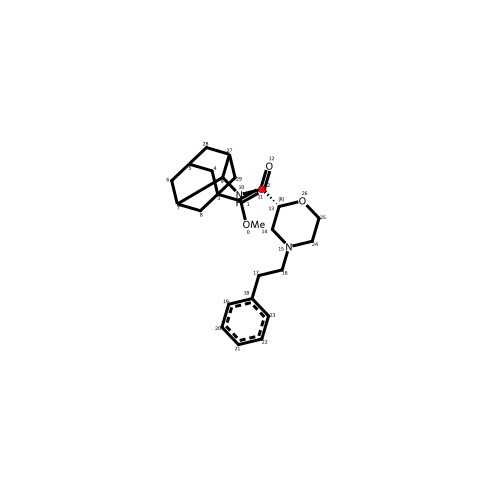 COC(=O)C12CC3CC(C1)C(NC(=O)[C@H]1CN(CCc4ccccc4)CCO1)C(C3)C2